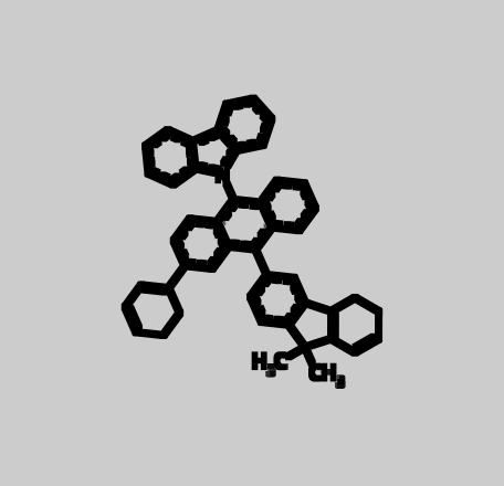 CC1(C)C2=C(CCC=C2)c2cc(-c3c4ccccc4c(-n4c5ccccc5c5ccccc54)c4ccc(C5=CC=CCC5)cc34)ccc21